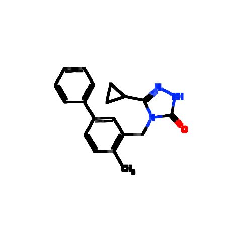 Cc1ccc(-c2ccccc2)cc1Cn1c(C2CC2)n[nH]c1=O